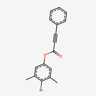 Cc1cc(OC(=O)C#Cc2ccccc2)cc(C)c1Br